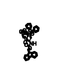 CC(C)(C)[Si](OCC[C@H](NC(=O)OCC1c2ccccc2-c2ccccc21)C(=O)N1CCS(=O)(=O)CC1)(c1ccccc1)c1ccccc1